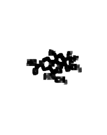 CNC(=O)C1CN(C(=O)O)CCN1c1nc(OC)c(C(F)(F)F)cc1Br